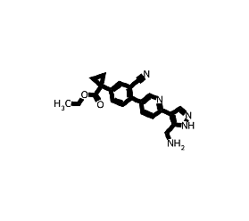 CCOC(=O)C1(c2ccc(-c3ccc(-c4cn[nH]c4CN)nc3)c(C#N)c2)CC1